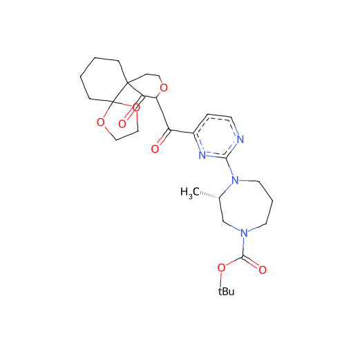 C[C@H]1CN(C(=O)OC(C)(C)C)CCCN1c1nccc(C(=O)C2OCCC3(CCCCC34OCCO4)C2=O)n1